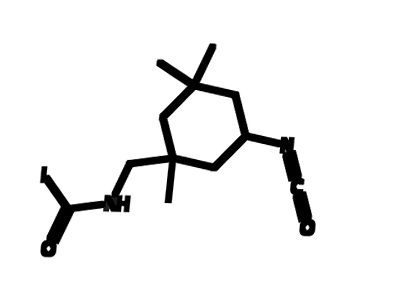 CC1(C)CC(N=C=O)CC(C)(CNC(=O)I)C1